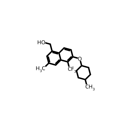 Cc1cc(CO)c2ccc(OC3CCC(C)CC3)c(C(F)(F)F)c2c1